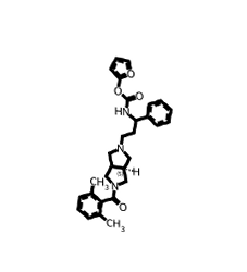 Cc1cccc(C)c1C(=O)N1CC2CN(CCC(NC(=O)Oc3ccco3)c3ccccc3)C[C@H]2C1